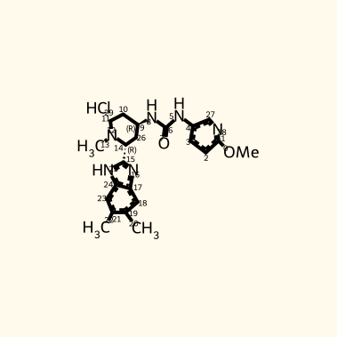 COc1ccc(NC(=O)N[C@@H]2CCN(C)[C@@H](c3nc4cc(C)c(C)cc4[nH]3)C2)cn1.Cl